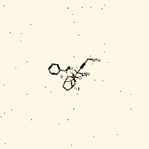 C=C(c1ccccc1)[C@@H]1C(C(C#N)(C#N)C#CCOC(C)=O)=C[C@H]2CC[C@@H]1N2C(=O)OC(C)(C)C